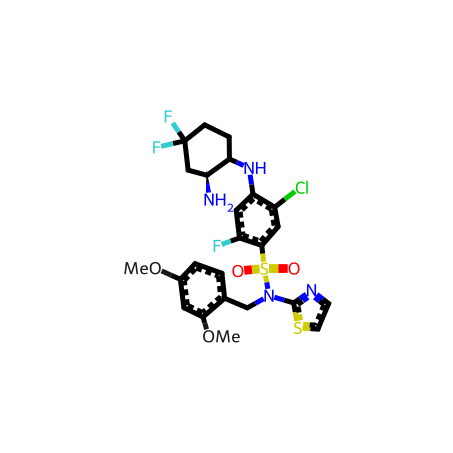 COc1ccc(CN(c2nccs2)S(=O)(=O)c2cc(Cl)c(NC3CCC(F)(F)C[C@@H]3N)cc2F)c(OC)c1